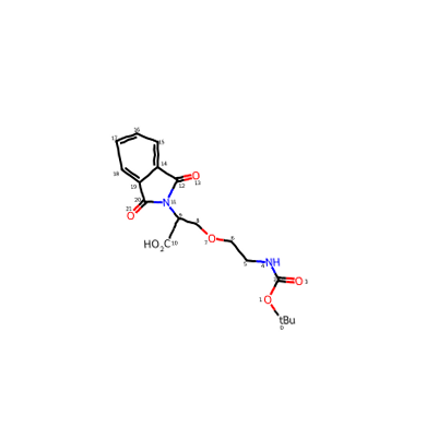 CC(C)(C)OC(=O)NCCOCC(C(=O)O)N1C(=O)c2ccccc2C1=O